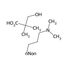 CC(C)(CO)C(=O)O.CCCCCCCCCCCCN(C)C